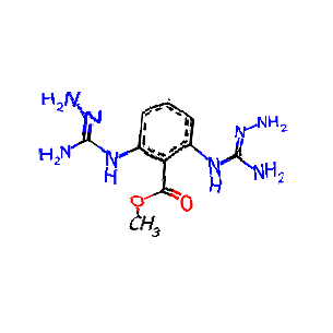 COC(=O)c1c(NC(N)=NN)c[c]cc1NC(N)=NN